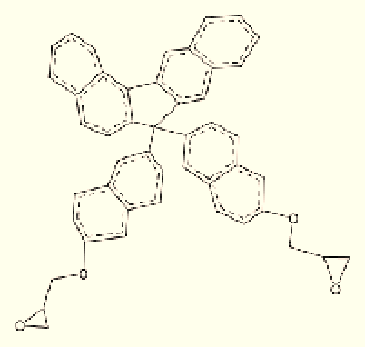 c1ccc2cc3c(cc2c1)-c1c(ccc2ccccc12)C3(c1ccc2cc(OCC3CO3)ccc2c1)c1ccc2cc(OCC3CO3)ccc2c1